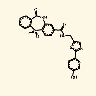 O=C(NCc1cnc(-c2ccc(O)cc2)s1)c1ccc2c(c1)NC(=O)c1ccccc1S2(=O)=O